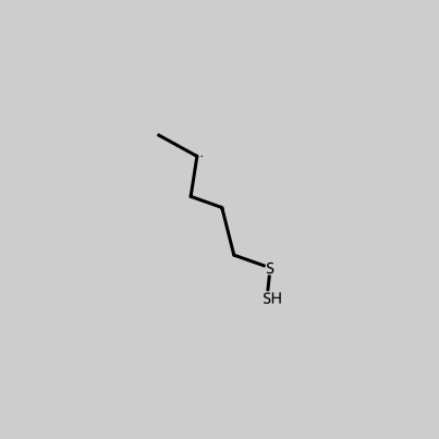 C[CH]CCCSS